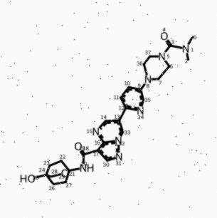 CN(C)C(=O)N1CCN(c2ccc(-c3cnc4c(C(=O)NC56CCC(O)(CC5)CC6)cnn4c3)nc2)CC1